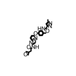 Cc1cc(C(=O)Nc2cc(Oc3ccc4nc(NC(=O)CC5COC5)cn4n3)ccc2C)n(C)n1